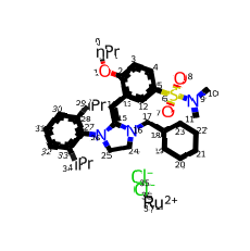 CCCOc1ccc(S(=O)(=O)N(C)C)cc1C=C1N(CC2CCCCC2)CCN1c1c(C(C)C)cccc1C(C)C.[Cl-].[Cl-].[Ru+2]